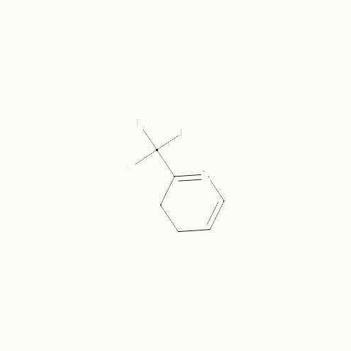 FC(F)(F)C1=NC=CCC1